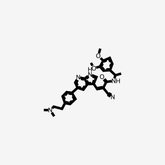 COc1ccc(C(C)NC(=O)/C(C#N)=C\c2c[nH]c3ncc(-c4ccc(CCN(C)C)cc4)cc23)cc1OC